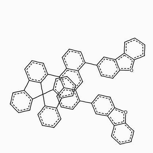 c1ccc2c(c1)-c1ccccc1C21c2ccccc2-c2cccc(-c3c4cccc(-c5ccc6oc7ccccc7c6c5)c4cc4c(-c5ccc6oc7ccccc7c6c5)cccc34)c21